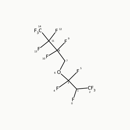 FC(C(F)(F)F)C(F)(F)OCC(F)(F)C(F)(F)C(F)(F)F